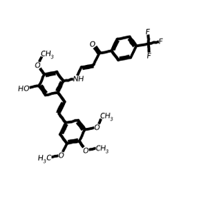 COc1cc(NC=CC(=O)c2ccc(C(F)(F)F)cc2)c(C=Cc2cc(OC)c(OC)c(OC)c2)cc1O